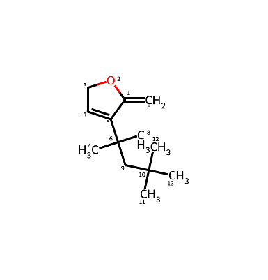 C=C1OCC=C1C(C)(C)CC(C)(C)C